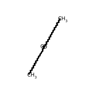 CCCCCCCCC=CCCCCCCCCCCCCCC(=O)OCCCCCCCCCCCCCCCCCCCCCCC